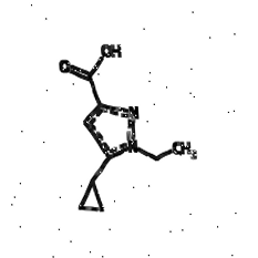 CCn1nc(C(=O)O)cc1C1CC1